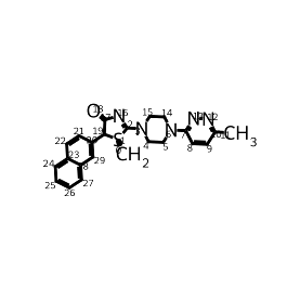 C=S1C(N2CCN(c3ccc(C)nn3)CC2)=NC(=O)C1c1ccc2ccccc2c1